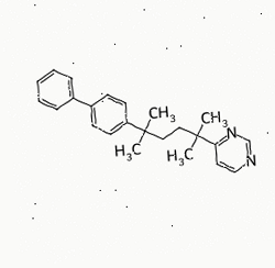 CC(C)(CCC(C)(C)c1ccncn1)c1ccc(-c2ccccc2)cc1